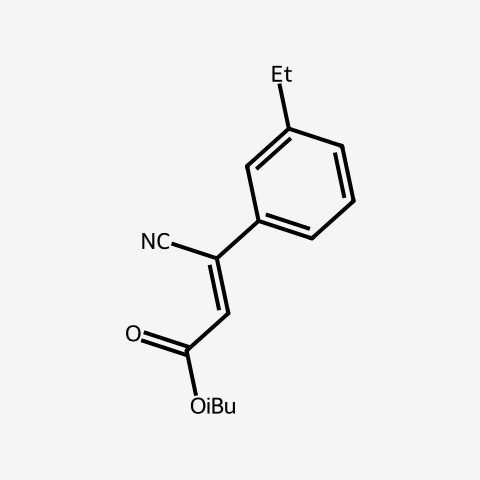 CCc1cccc(C(C#N)=CC(=O)OCC(C)C)c1